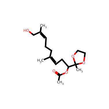 CC(=O)OC(CC=C(C)CCC=C(C)CO)C1(C)OCCO1